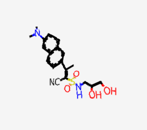 C/C(=C(/C#N)S(=O)(=O)NCC(O)CO)c1ccc2cc(N(C)C)ccc2c1